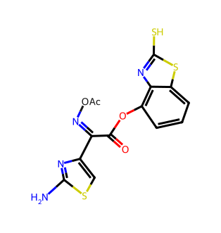 CC(=O)ON=C(C(=O)Oc1cccc2sc(S)nc12)c1csc(N)n1